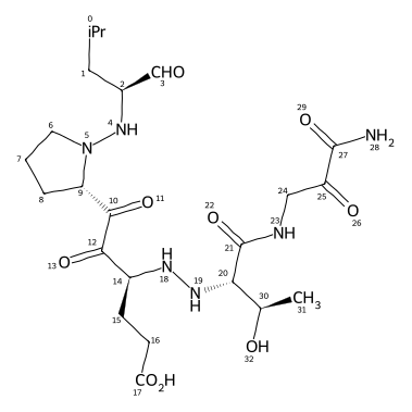 CC(C)C[C@@H](C=O)NN1CCC[C@H]1C(=O)C(=O)[C@H](CCC(=O)O)NN[C@H](C(=O)NCC(=O)C(N)=O)[C@@H](C)O